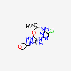 COC1CNc2nc(ncc2Cl)N/C(=C(\C)NCC2CCOCC2)C(=N)OC1